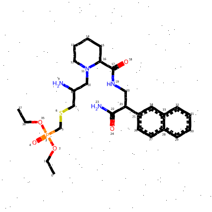 CCOP(=O)(CSCC(N)CN1CCCCC1C(=O)NCC(C(N)=O)c1ccc2ccccc2c1)OCC